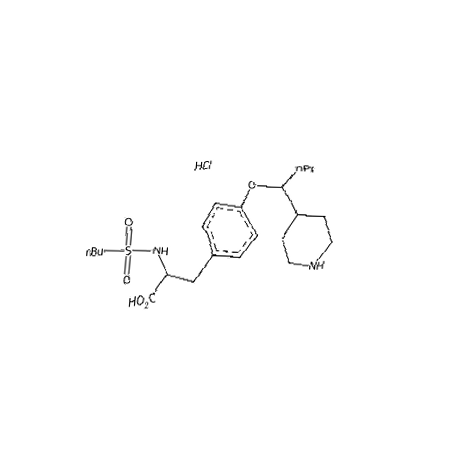 CCCCS(=O)(=O)NC(Cc1ccc(OC(CCC)C2CCNCC2)cc1)C(=O)O.Cl